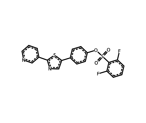 O=S(=O)(Oc1ccc(-c2cnc(-c3cccnc3)s2)cc1)c1c(F)cccc1F